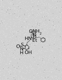 CCC(CS(N)(=O)=O)(NCCc1ccc(O)c2[nH]c(=O)sc12)OCCc1ccccc1